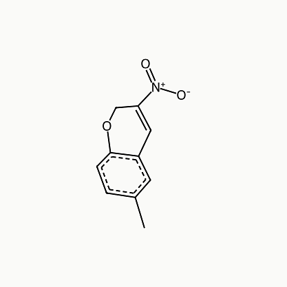 Cc1ccc2c(c1)C=C([N+](=O)[O-])CO2